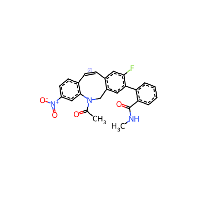 CNC(=O)c1ccccc1-c1cc2c(cc1F)/C=C\c1ccc([N+](=O)[O-])cc1N(C(C)=O)C2